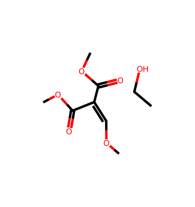 CCO.COC=C(C(=O)OC)C(=O)OC